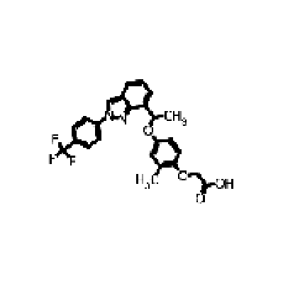 Cc1cc(OC(C)c2cccc3cn(-c4ccc(C(F)(F)F)cc4)nc23)ccc1OCC(=O)O